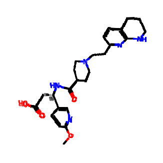 COc1ccc([C@H](CC(=O)O)NC(=O)C2CCN(CCc3ccc4c(n3)NCCC4)CC2)cn1